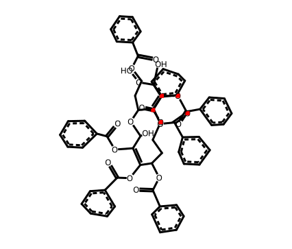 O=C(OCCC(OC(=O)c1ccccc1)/C(OC(=O)c1ccccc1)=C(/OC(=O)c1ccccc1)C(O)OC(CCOC(=O)c1ccccc1)/C(OC(=O)c1ccccc1)=C(/OC(=O)c1ccccc1)C(O)OO)c1ccccc1